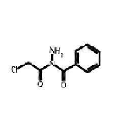 NN(C(=O)CCl)C(=O)c1ccccc1